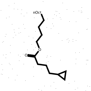 CCCCCCCCCCCCOC(=O)CCCC1CC1